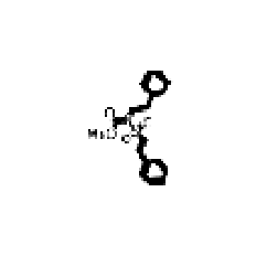 COC(=O)N(CCc1ccccc1)S(=O)(=O)/C=C/c1ccccc1